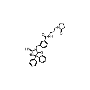 N=C1NC(c2ccccc2)(c2ccccc2)C(=O)N1Cc1cccc(C(=O)NCCCN2CCCC2=O)c1